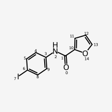 O=C(Nc1ccc(I)cc1)c1ccco1